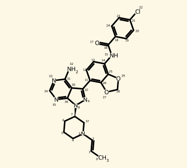 CC=CN1CCC[C@@H](n2nc(-c3ccc(NC(=O)c4ccc(Cl)cc4)c4c3OCO4)c3c(N)ncnc32)C1